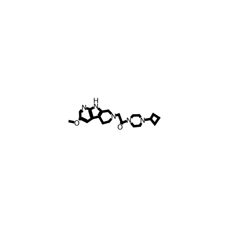 COc1cnc2[nH]c3c(c2c1)CCN(CC(=O)N1CCN(C2CCC2)CC1)C3